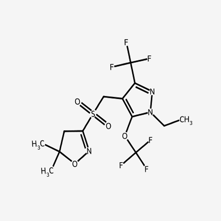 CCn1nc(C(F)(F)F)c(CS(=O)(=O)C2=NOC(C)(C)C2)c1OC(F)(F)F